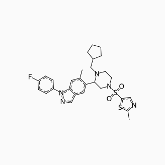 Cc1ncc(S(=O)(=O)N2CCN(CC3CCCC3)C(c3cc4cnn(-c5ccc(F)cc5)c4cc3C)C2)s1